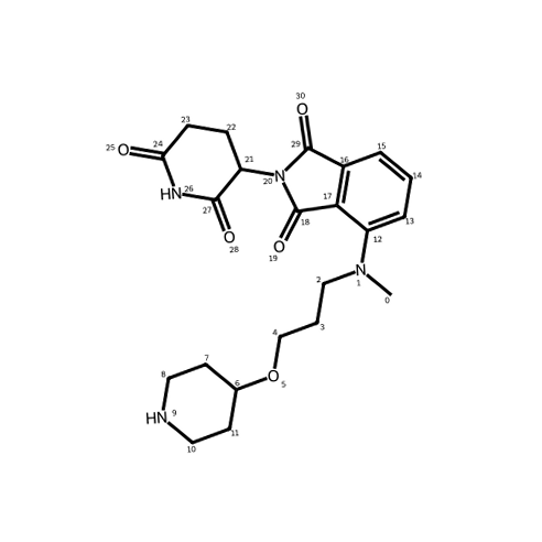 CN(CCCOC1CCNCC1)c1cccc2c1C(=O)N(C1CCC(=O)NC1=O)C2=O